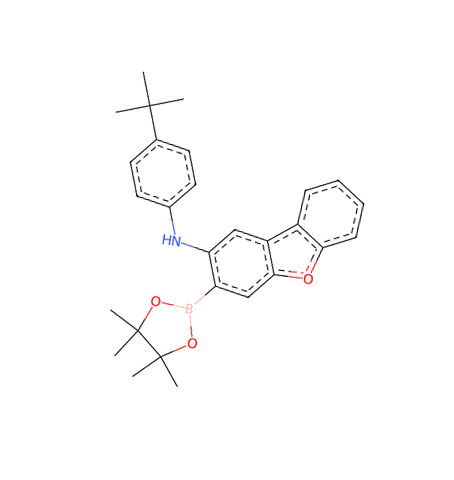 CC(C)(C)c1ccc(Nc2cc3c(cc2B2OC(C)(C)C(C)(C)O2)oc2ccccc23)cc1